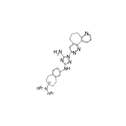 CCCN(CCC)[C@H]1CCc2ccc(Nc3nc(N)n(-c4cc5c(nn4)-c4cccnc4CCC5)n3)cc2CC1